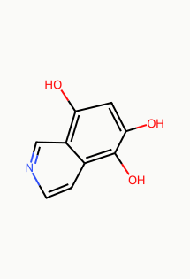 Oc1cc(O)c2cnccc2c1O